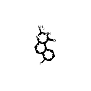 Nc1nc2ccc3c(F)cccc3c2c(=O)[nH]1